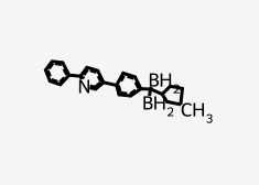 BC(B)(c1ccc(-c2ccc(-c3ccccc3)nc2)cc1)C1CCC(C)C1